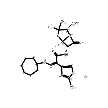 CC1(C)S[C@@H]2[C@@H](NC(=O)/C(=N\OC3CCCCCC3)c3csc(N)n3)C(=O)N2[C@H]1C(=O)[O-].[Na+]